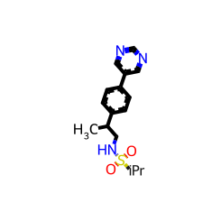 CC(CNS(=O)(=O)C(C)C)c1ccc(-c2cncnc2)cc1